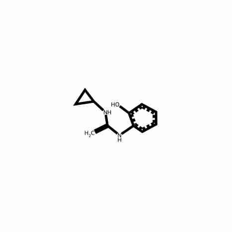 C=C(Nc1ccccc1O)NC1CC1